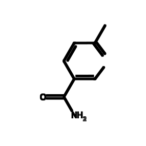 C=C(C)/C=C\C(=C/C)C(N)=O